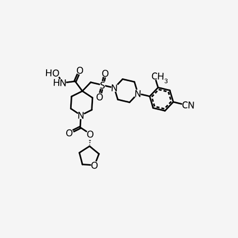 Cc1cc(C#N)ccc1N1CCN(S(=O)(=O)CC2(C(=O)NO)CCN(C(=O)O[C@H]3CCOC3)CC2)CC1